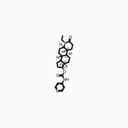 CCN1C(=O)CC[C@@H]2[C@H]3CC[C@]4(C)[C@@H](OC(=O)Nc5ccncc5)CC[C@H]4[C@@H]3CC[C@H]21